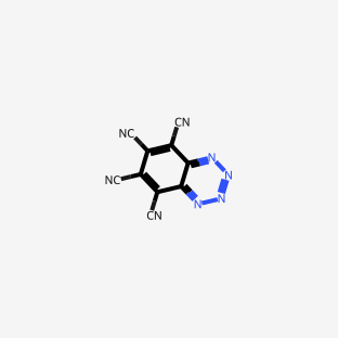 N#Cc1c(C#N)c(C#N)c2nnnnc2c1C#N